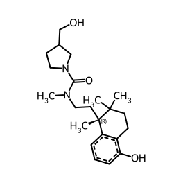 CN(CC[C@@]1(C)c2cccc(O)c2CCC1(C)C)C(=O)N1CCC(CO)C1